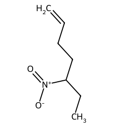 C=CCCC(CC)[N+](=O)[O-]